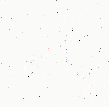 COC(=O)c1ccc([C@H]2C[C@@H](NC(=O)[C@@]3(C)COc4cc5c(cc43)OC(F)(F)O5)c3ccc(OC(F)F)cc3O2)cc1